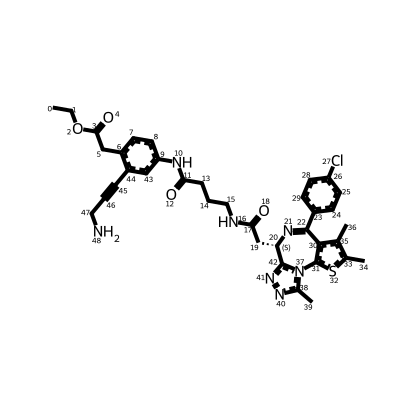 CCOC(=O)Cc1ccc(NC(=O)CCCNC(=O)C[C@@H]2N=C(c3ccc(Cl)cc3)c3c(sc(C)c3C)-n3c(C)nnc32)cc1C#CCN